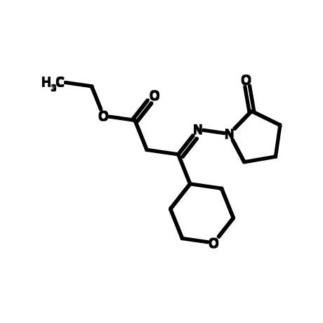 CCOC(=O)C/C(=N/N1CCCC1=O)C1CCOCC1